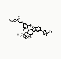 CCn1cc(-c2ccc3oc4c(c3c2)C[C@H](C)N(CC(C)(C)F)[C@H]4c2c(F)cc(/C=C/C(=O)OC)cc2F)cn1